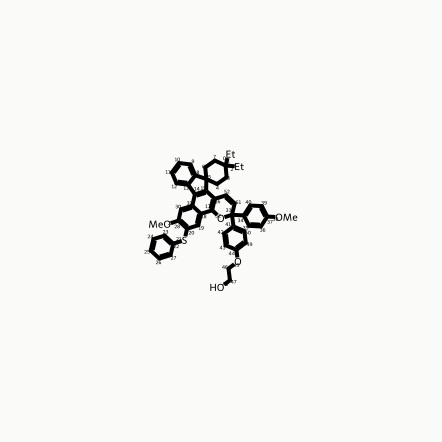 CCC1(CC)CCC2(CC1)c1ccccc1-c1c2c2c(c3cc(Sc4ccccc4)c(OC)cc13)OC(c1ccc(OC)cc1)(c1ccc(OCCO)cc1)C=C2